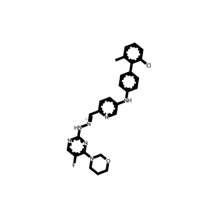 Cc1cccc(Cl)c1-c1ccc(Nc2ccc(/C=N/Nc3ncc(F)c(N4CCCOC4)n3)nc2)cc1